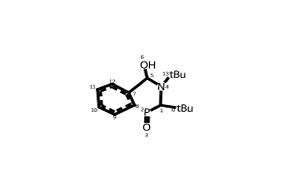 CC(C)(C)C(P=O)N(C(O)c1ccccc1)C(C)(C)C